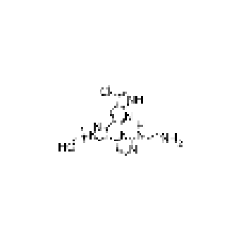 CC(C)(CO)n1cc(-c2ccnc(NCCN)n2)c(-c2cnc3[nH]cc(Cl)c3c2)n1